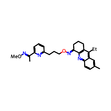 CCc1c2c(nc3ccc(C)cc13)/C(=N/OCCCc1cccc(/C(C)=N/OC)n1)CCC2